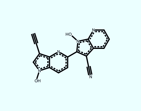 C#Cc1cn(O)c2ccc(-c3c(C#N)c4cccnc4n3O)nc12